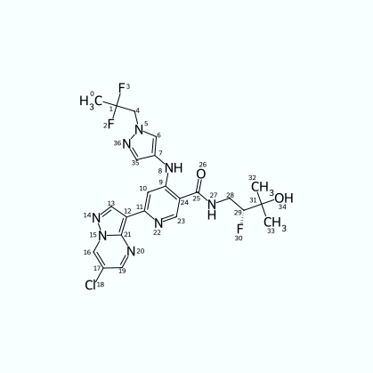 CC(F)(F)Cn1cc(Nc2cc(-c3cnn4cc(Cl)cnc34)ncc2C(=O)NC[C@@H](F)C(C)(C)O)cn1